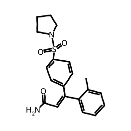 Cc1ccccc1C(=CC(N)=O)c1ccc(S(=O)(=O)N2CCCC2)cc1